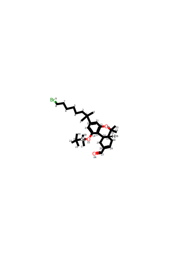 CC(C)(CCCCCCBr)c1cc2c(c(O[Si](C)(C)C(C)(C)C)c1)C1CC(C=O)=CC[C@H]1C(C)(C)O2